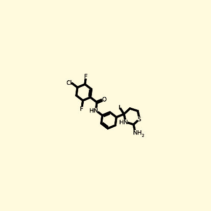 NC1NC(I)(C2C=C(NC(=O)C3=CC(F)C(Cl)CC3F)C=CC2)CCS1